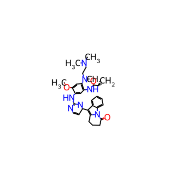 C=CC(=O)Nc1cc(Nc2nccc(-c3c4n(c5ccccc35)C(=O)CCC4)n2)c(OC)cc1N(C)CCN(C)C